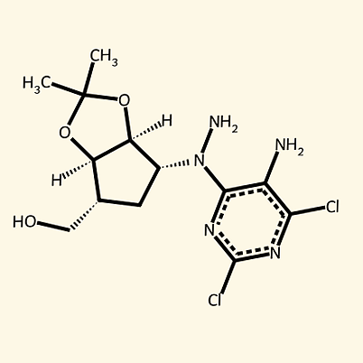 CC1(C)O[C@@H]2[C@@H](CO)C[C@@H](N(N)c3nc(Cl)nc(Cl)c3N)[C@@H]2O1